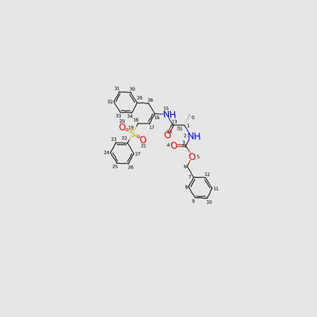 C[C@H](NC(=O)OCc1ccccc1)C(=O)NC(=CCS(=O)(=O)c1ccccc1)Cc1ccccc1